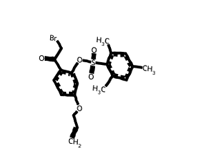 C=CCOc1ccc(C(=O)CBr)c(OS(=O)(=O)c2c(C)cc(C)cc2C)c1